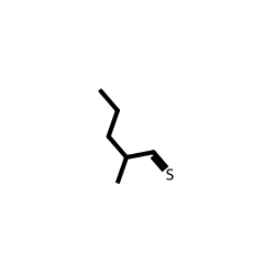 CCCC(C)C=S